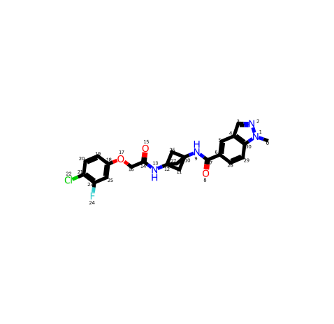 Cn1ncc2cc(C(=O)NC34CC(NC(=O)COc5ccc(Cl)c(F)c5)(C3)C4)ccc21